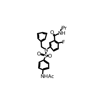 CC(=O)Nc1ccc(S(=O)(=O)N(Cc2ccccc2)c2ccc(F)c(C(=O)NC(C)C)c2)cc1